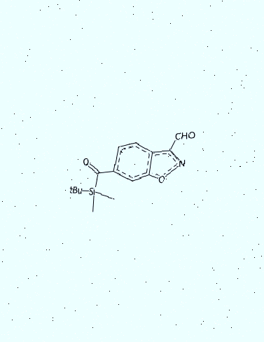 CC(C)(C)[Si](C)(C)C(=O)c1ccc2c(C=O)noc2c1